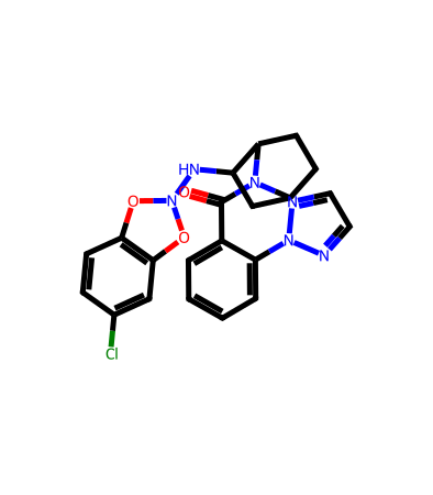 O=C(c1ccccc1-n1nccn1)N1C2CCC1C(NN1Oc3ccc(Cl)cc3O1)C2